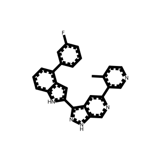 Cc1ccncc1-c1cc2c(-c3cc4c(-c5cccc(F)c5)cccc4[nH]3)n[nH]c2cn1